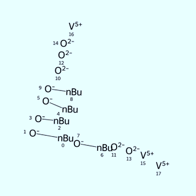 CCCC[O-].CCCC[O-].CCCC[O-].CCCC[O-].CCCC[O-].[O-2].[O-2].[O-2].[O-2].[O-2].[V+5].[V+5].[V+5]